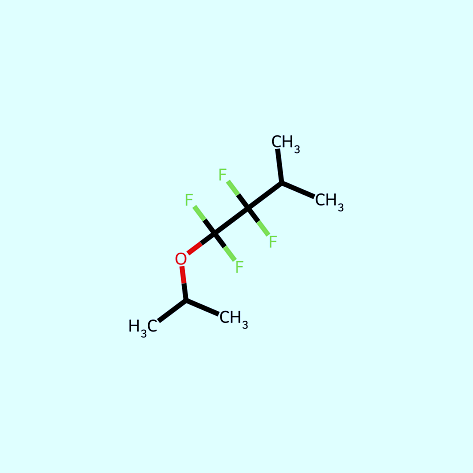 CC(C)OC(F)(F)C(F)(F)C(C)C